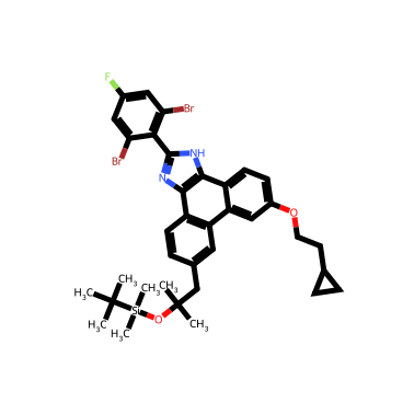 CC(C)(Cc1ccc2c(c1)c1cc(OCCC3CC3)ccc1c1[nH]c(-c3c(Br)cc(F)cc3Br)nc21)O[Si](C)(C)C(C)(C)C